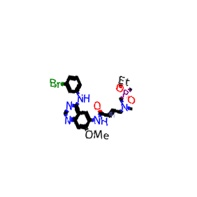 CCOP(C)(=O)CN(C)C/C=C/C(=O)Nc1cc2c(Nc3cccc(Br)c3)ncnc2cc1OC